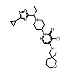 CC[C@H](c1nc(C2CC2)no1)N1CCC(n2ncc(NC[C@@]3(F)CCCOC3)c(Cl)c2=O)CC1